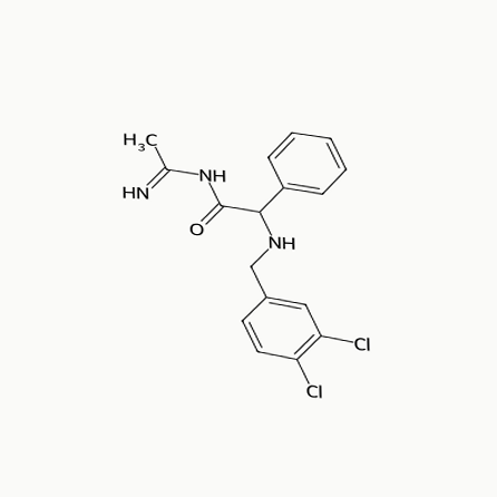 CC(=N)NC(=O)C(NCc1ccc(Cl)c(Cl)c1)c1ccccc1